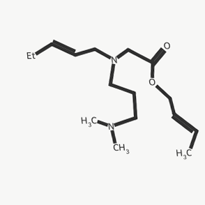 CC=CCOC(=O)CN(CC=CCC)CCCN(C)C